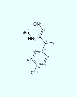 CCC(C)N/C(=C\N=O)C(C)c1ccc(Cl)nc1